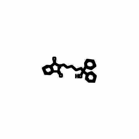 O=C1c2ccccc2C(=O)N1CCCCCC(O)(c1ccccc1)c1ccccc1